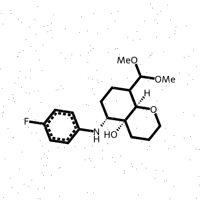 COC(OC)C1CC[C@@H](Nc2ccc(F)cc2)[C@]2(O)CCCO[C@H]12